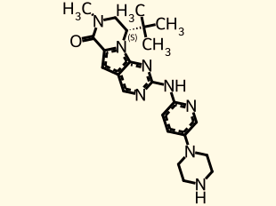 CN1C[C@H](C(C)(C)C)n2c(cc3cnc(Nc4ccc(N5CCNCC5)cn4)nc32)C1=O